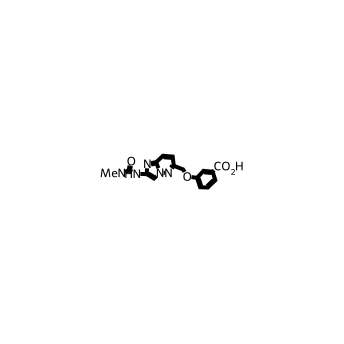 CNC(=O)Nc1cn2nc(COc3cccc(C(=O)O)c3)ccc2n1